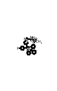 CS(=O)(=O)c1nnc(-c2cnc3ccc(-c4cn(C(c5ccccc5)(c5ccccc5)c5ccccc5)nc4-c4ccc(F)cc4)cn23)o1